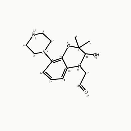 CC1(C)Oc2c(N3CCNCC3)cccc2N(CC=O)C1O